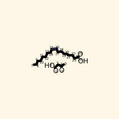 CC(=O)CC(=O)O.CCCCCCCC/C=C\CCCCCCCC(=O)O